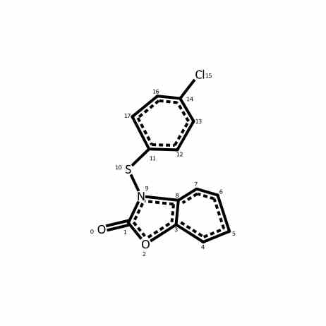 O=c1oc2ccccc2n1Sc1ccc(Cl)cc1